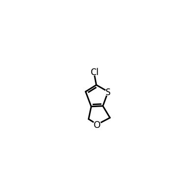 Clc1cc2c(s1)COC2